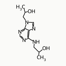 CC(O)CNc1ncnc2c1ncn2CC(C)O